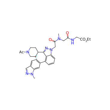 CCOC(=O)CNC(=O)CN(C)C(=O)Cn1nc(C2CCN(C(C)=O)CC2)c2c(-c3cc4c(cnn4C)cc3F)cccc21